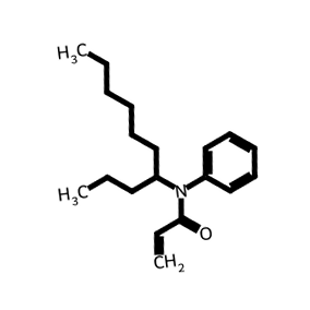 C=CC(=O)N(c1ccccc1)C(CCC)CCCCCC